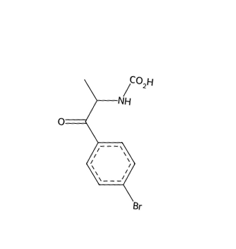 CC(NC(=O)O)C(=O)c1ccc(Br)cc1